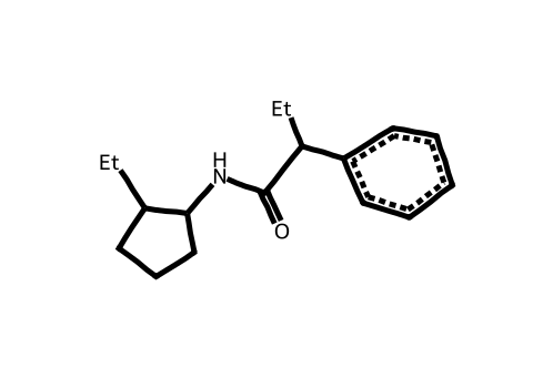 [CH2]CC1CCCC1NC(=O)C(CC)c1ccccc1